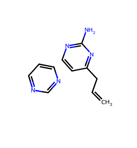 C=CCc1ccnc(N)n1.c1cncnc1